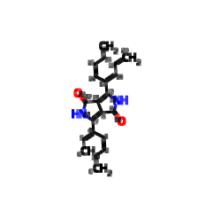 C=C/C=C\C(=C/C)C1=C2C(=O)NC(C(/C=C\C=C)=C/C=C)=C2C(=O)N1